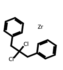 ClC(Cl)(Cc1ccccc1)Cc1ccccc1.[Zr]